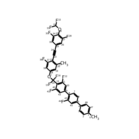 Cc1ccc(-c2ccc(-c3cc(F)c(C(F)(F)Oc4cc(C)c(C#Cc5cc(F)c(OC(F)F)c(F)c5)c(F)c4)c(F)c3)c(F)c2)cc1